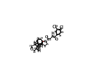 O=C(NCC(=O)N1CCC(N2C[C@H]3COC[C@@H](C2)[C@@]3(O)c2ccccc2)C1)c1ccc(Cl)c(Cl)c1